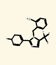 Cc1ccccc1Cn1c(C(F)(F)F)cnc1C1=CCC(F)C=C1